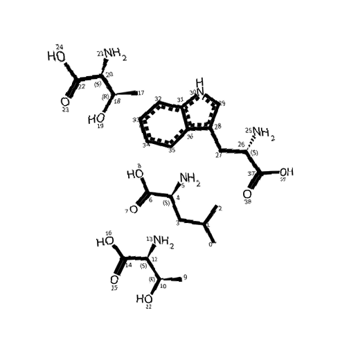 CC(C)C[C@H](N)C(=O)O.C[C@@H](O)[C@H](N)C(=O)O.C[C@@H](O)[C@H](N)C(=O)O.N[C@@H](Cc1c[nH]c2ccccc12)C(=O)O